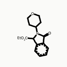 CCOC(=O)C1c2ccccc2C(=O)N1C1CCOCC1